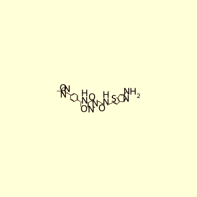 Cc1nc(-c2ccc([C@@H]3COc4ncn(CC(=O)NCc5cc6cnc(N)cc6s5)c(=O)c4N3)cc2)no1